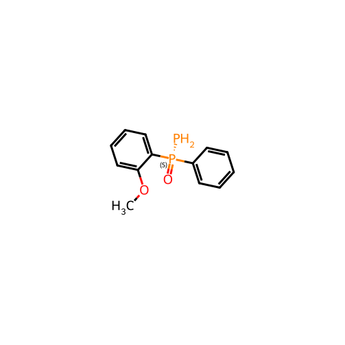 COc1ccccc1[P@@](=O)(P)c1ccccc1